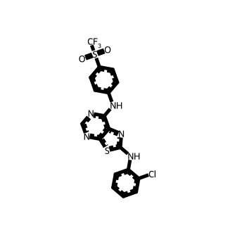 O=S(=O)(c1ccc(Nc2ncnc3sc(Nc4ccccc4Cl)nc23)cc1)C(F)(F)F